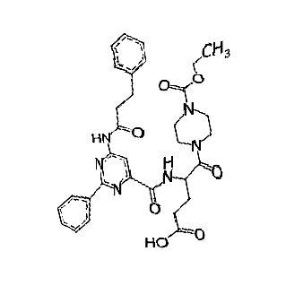 CCOC(=O)N1CCN(C(=O)C(CCC(=O)O)NC(=O)c2cc(NC(=O)CCc3ccccc3)nc(-c3ccccc3)n2)CC1